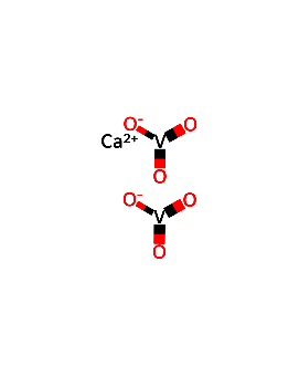 [Ca+2].[O]=[V](=[O])[O-].[O]=[V](=[O])[O-]